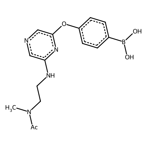 CC(=O)N(C)CCNc1cncc(Oc2ccc(B(O)O)cc2)n1